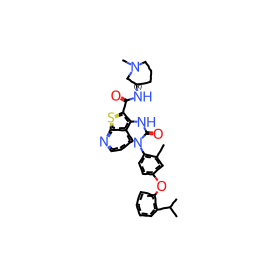 Cc1cc(Oc2ccccc2C(C)C)ccc1N1C(=O)Nc2c(C(=O)N[C@@H]3CCCN(C)C3)sc3nccc1c23